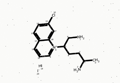 CC(N)CCC(CN)[n+]1cccc2ccc(Cl)cc21.I.[I-]